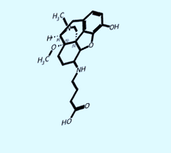 CO[C@@]12CCC(NCCCC(=O)O)C3Oc4c(O)ccc5c4[C@@]31CCN(C)[C@@H]2C5